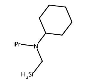 CC(C)N(C[SiH3])C1CCCCC1